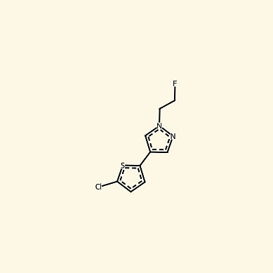 FCCn1cc(-c2ccc(Cl)s2)cn1